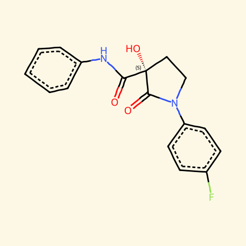 O=C(Nc1ccccc1)[C@@]1(O)CCN(c2ccc(F)cc2)C1=O